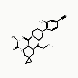 COC(=O)N1CC2(CC2)C[C@H](C(=O)NO)[C@H]1C(=O)N1CCN(c2ccc(C#N)cc2C)CC1